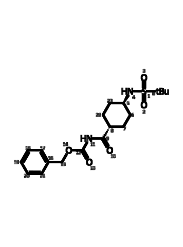 CC(C)(C)S(=O)(=O)N[C@H]1CC[C@H](C(=O)NC(=O)OCc2ccccc2)CC1